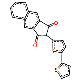 O=C1c2cc3ccccc3cc2C(=O)C1c1ccc(-c2cccs2)s1